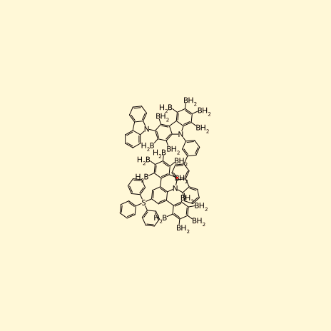 Bc1c(B)c(B)c(-c2cc(S(c3ccccc3)(c3ccccc3)c3ccccc3)cc(-c3c(B)c(B)c(B)c(B)c3B)c2-n2c3ccccc3c3cc(-c4cccc(-n5c6c(B)c(B)c(B)c(B)c6c6c(B)c(-n7c8ccccc8c8ccccc87)c(B)c(B)c65)c4)ccc32)c(B)c1B